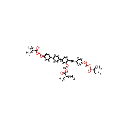 C=C(C)C(=O)OCOc1ccc(C#Cc2ccc(-c3ccc(-c4ccc(OCOC(=O)C(=C)C)cc4)cc3)cc2OCOC(=O)C(=C)C)cc1